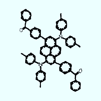 Cc1ccc(N(c2ccc(C)cc2)c2cc(-c3ccc(C(=O)c4ccccc4)cc3)c3ccc4c(N(c5ccc(C)cc5)c5ccc(C)cc5)cc(-c5ccc(C(=O)c6ccccc6)cc5)c5ccc2c3c54)cc1